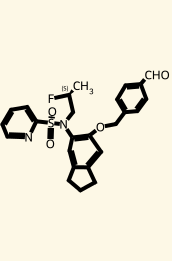 C[C@H](F)CN(c1cc2c(cc1OCc1ccc(C=O)cc1)CCC2)S(=O)(=O)c1ccccn1